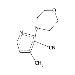 Cc1ccnc(N2CCOCC2)c1C#N